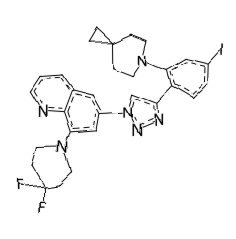 FC1(F)CCN(c2cc(-n3cc(-c4ccc(I)cc4N4CCC5(CC4)CC5)nn3)cc3cccnc23)CC1